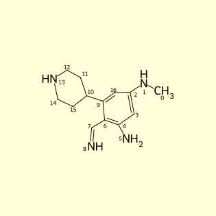 CNc1cc(N)c(C=N)c(C2CCNCC2)c1